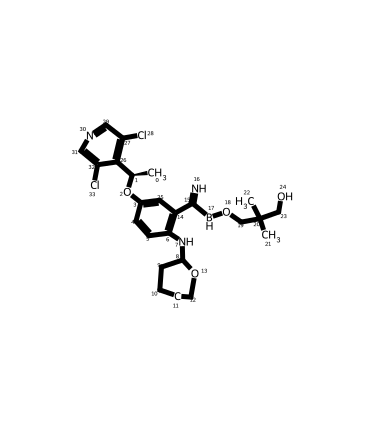 C[C@@H](Oc1ccc(NC2CCCCO2)c(C(=N)BOCC(C)(C)CO)c1)c1c(Cl)cncc1Cl